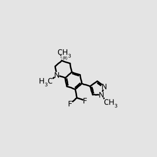 C[C@@H]1Cc2cc(-c3cnn(C)c3)c(C(F)F)cc2N(C)C1